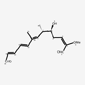 CO/C(C=O)=C/C[C@H](O)[C@@H](C)/C=C(C)/C=C/C=C/C=O